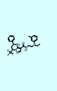 CCN(CCNC(=O)c1cnn2c1NC(c1ccccc1)CC2C(F)(F)F)c1cccc(C)c1